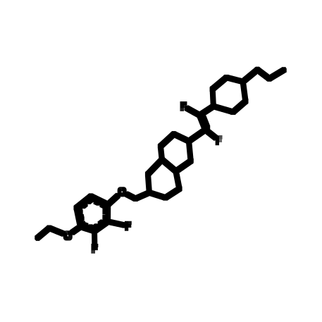 CCCC1CCC(/C(F)=C(\F)C2CCC3CC(COc4ccc(OCC)c(F)c4F)CCC3C2)CC1